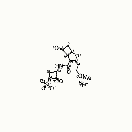 COCC=C1OC2CC(=O)N2C1C(=O)NC1CN(S(=O)(=O)[O-])C1=O.[Na+]